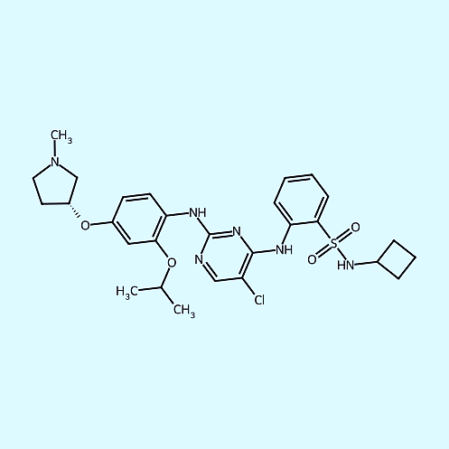 CC(C)Oc1cc(O[C@@H]2CCN(C)C2)ccc1Nc1ncc(Cl)c(Nc2ccccc2S(=O)(=O)NC2CCC2)n1